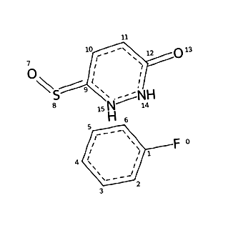 Fc1ccccc1.O=S=c1ccc(=O)[nH][nH]1